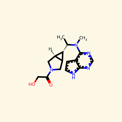 CC([C@@H]1C2CN(C(=O)CO)C[C@H]21)N(C)c1ncnc2[nH]ccc12